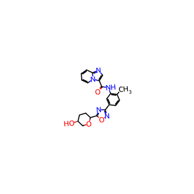 Cc1ccc(-c2noc(C3CC[C@H](O)CO3)n2)cc1NC(=O)c1cnc2ccccn12